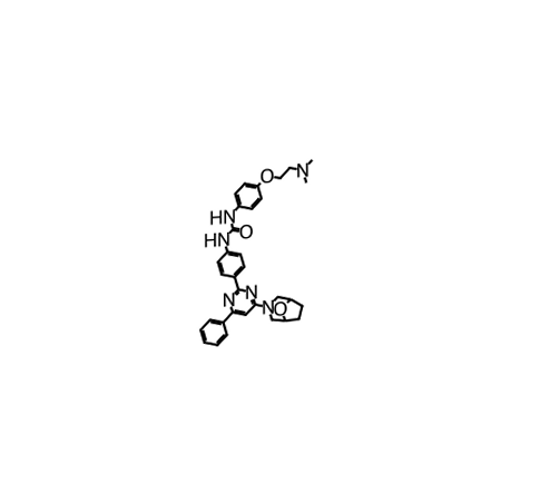 CN(C)CCOc1ccc(NC(=O)Nc2ccc(-c3nc(-c4ccccc4)cc(N4CC5CCC(C4)O5)n3)cc2)cc1